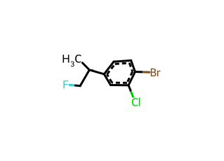 C[C](CF)c1ccc(Br)c(Cl)c1